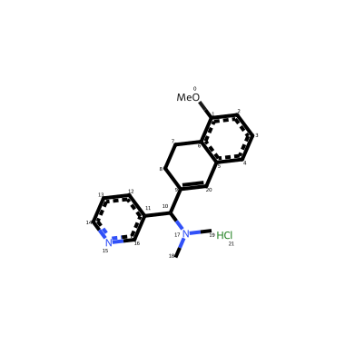 COc1cccc2c1CCC(C(c1cccnc1)N(C)C)=C2.Cl